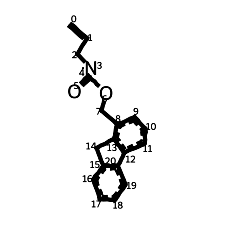 C=CC[N]C(=O)OCc1cccc2c1Cc1ccccc1-2